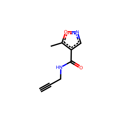 C#CCNC(=O)c1cnoc1C